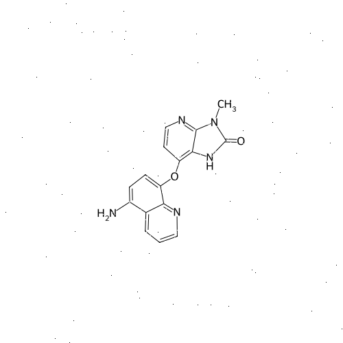 Cn1c(=O)[nH]c2c(Oc3ccc(N)c4cccnc34)ccnc21